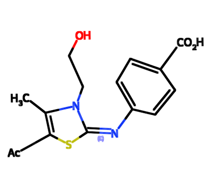 CC(=O)c1s/c(=N/c2ccc(C(=O)O)cc2)n(CCO)c1C